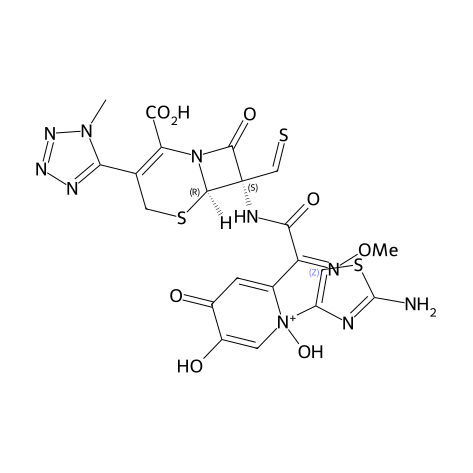 CO/N=C(\C(=O)N[C@@]1(C=S)C(=O)N2C(C(=O)O)=C(c3nnnn3C)CS[C@@H]21)C1=CC(=O)C(O)=C[N+]1(O)c1csc(N)n1